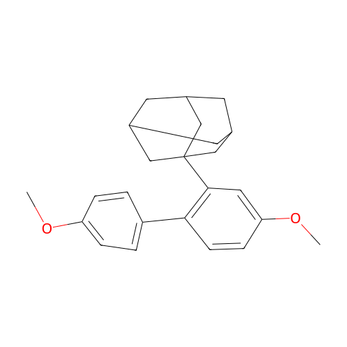 COc1ccc(-c2ccc(OC)cc2C23CC4CC(CC(C4)C2)C3)cc1